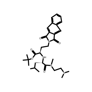 CC(C)C[C@H](N[C@H](CCN1C(=O)c2cc3ccccc3cc2C1=O)C(=O)OC(C)(C)C)C(=O)N(C)CCN(C)C